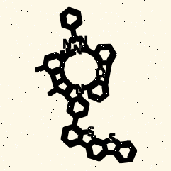 CC1C=CC2(C)C3=C1C(C)c1c(n(c4ccc(-c5cccc6c5sc5c6ccc6c7ccccc7sc65)cc14)-c1cccc4c1oc1c(cccc14)-c1nc(-c4ccccc4)nc2n1)C3C